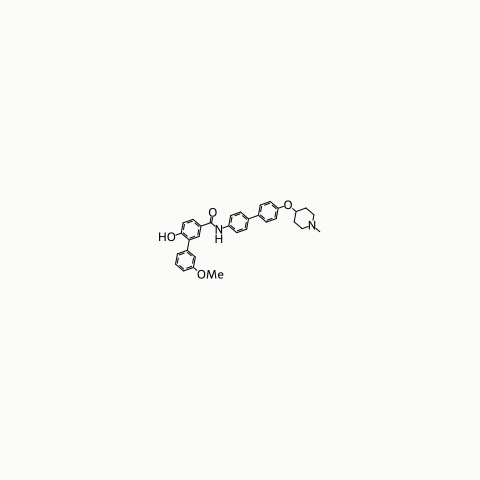 COc1cccc(-c2cc(C(=O)Nc3ccc(-c4ccc(OC5CCN(C)CC5)cc4)cc3)ccc2O)c1